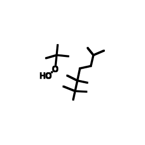 CC(C)(C)OO.CC(C)CCC(C)(C)C(C)(C)C